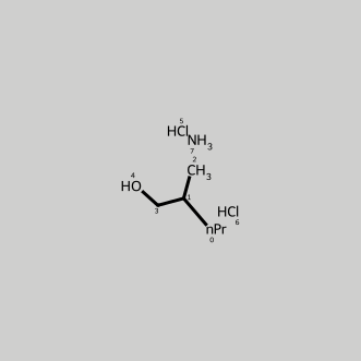 CCCC(C)CO.Cl.Cl.N